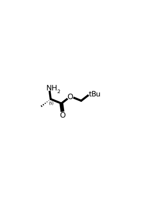 C[C@H](N)C(=O)OCC(C)(C)C